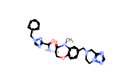 CN1C(=O)[C@@H](NC(=O)c2ncn(Cc3ccccc3)n2)COc2ccc(CN3CCn4ncnc4C3)cc21